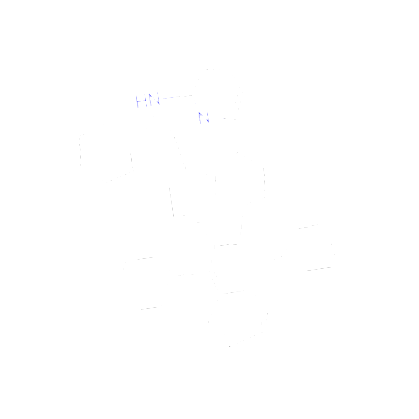 C1=CCCC(C2=c3ccccc3=C(C3=CC=CCC3)C3C4=CCCC5C(C6=C(C7=CCCCC7)NC7CCC=CN67)=CC=C(C45)C23)=C1